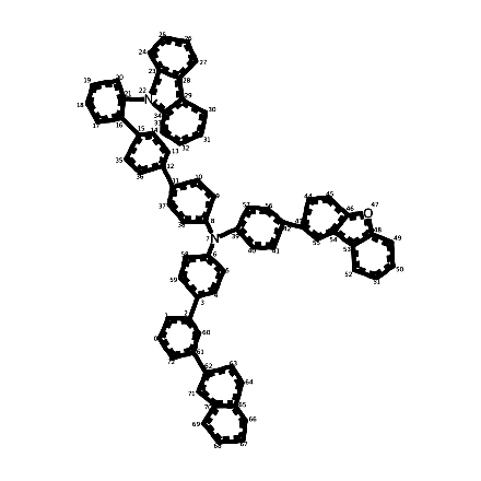 c1cc(-c2ccc(N(c3ccc(-c4ccc(-c5ccccc5-n5c6ccccc6c6ccccc65)cc4)cc3)c3ccc(-c4ccc5oc6ccccc6c5c4)cc3)cc2)cc(-c2ccc3ccccc3c2)c1